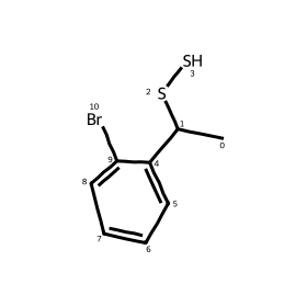 CC(SS)c1ccccc1Br